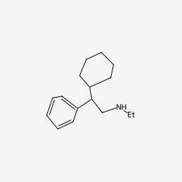 CCNCC(c1ccccc1)C1CCCCC1